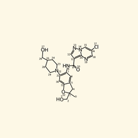 CC1(CO)Cc2cc(NC(=O)c3cnn4cc(Cl)cnc34)c(N3CCC(CO)CC3)cc2O1